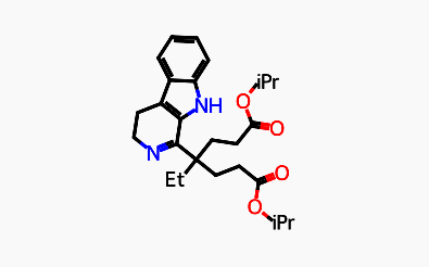 CCC(CCC(=O)OC(C)C)(CCC(=O)OC(C)C)C1=NCCc2c1[nH]c1ccccc21